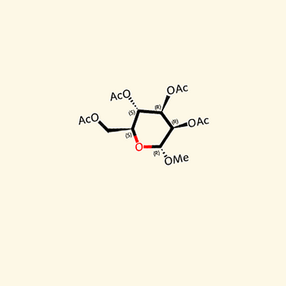 CO[C@@H]1O[C@@H](COC(C)=O)[C@H](OC(C)=O)[C@@H](OC(C)=O)[C@H]1OC(C)=O